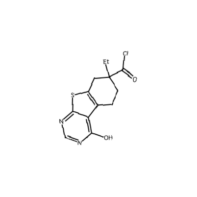 CCC1(C(=O)Cl)CCc2c(sc3ncnc(O)c23)C1